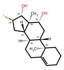 C[C@]12[C@H](O)C[C@H]3[C@@H](CCC4=CCCC[C@@]43C)[C@@H]1C[C@@H](F)[C@@H]2O